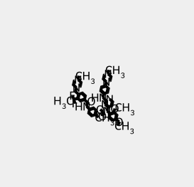 COc1ccc(N(C(=O)Oc2cc(NC(=O)c3ccc(CN4CCN(C)CC4)c(C(C)(F)F)c3)ccc2C)c2ccnc(Nc3ccc(N4CCN(C)CC4)cc3)n2)c(OC)c1